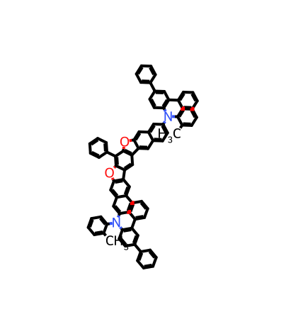 Cc1ccccc1N(c1ccc2cc3c(cc2c1)oc1c(-c2ccccc2)c2oc4cc5cc(N(c6ccccc6C)c6ccc(-c7ccccc7)cc6-c6ccccc6)ccc5cc4c2cc13)c1ccc(-c2ccccc2)cc1-c1ccccc1